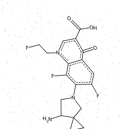 NC1CN(c2c(F)cc3c(=O)c(C(=O)O)cn(CCF)c3c2F)CC12CC2